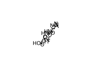 Cc1nn(C)c2ncc(C(=O)NC(=O)Nc3ccc(OCC(=O)O)c(C(F)(F)F)c3)cc12